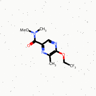 CON(C)C(=O)c1cnc(OCC(F)(F)F)c(C)n1